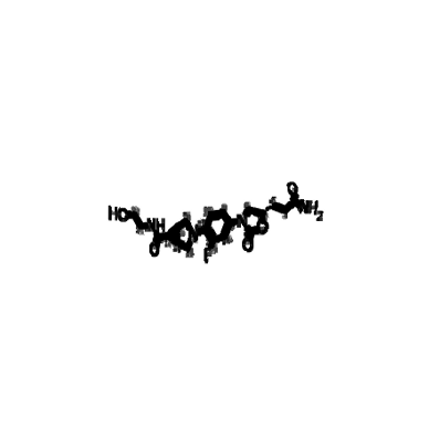 NC(=O)CC[C@H]1CN(c2ccc(N3CC4C(C3)C4C(=O)NCCO)c(F)c2)C(=O)O1